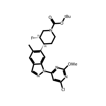 COc1nc(Cl)cc(-n2ncc3cc(C)c([C@H]4CCN(C(=O)OC(C)(C)C)C[C@H]4F)cc32)n1